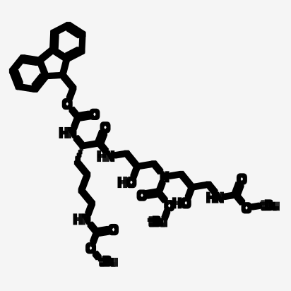 CC(C)(C)OC(=O)NCCCC[C@H](NC(=O)OCC1c2ccccc2-c2ccccc21)C(=O)NCC(O)CN(CC(O)CNC(=O)OC(C)(C)C)C(=O)OC(C)(C)C